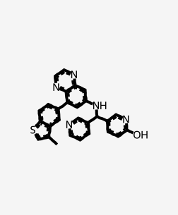 Cc1csc2ccc(-c3cc(NC(c4cccnc4)c4ccc(O)nc4)cc4nccnc34)cc12